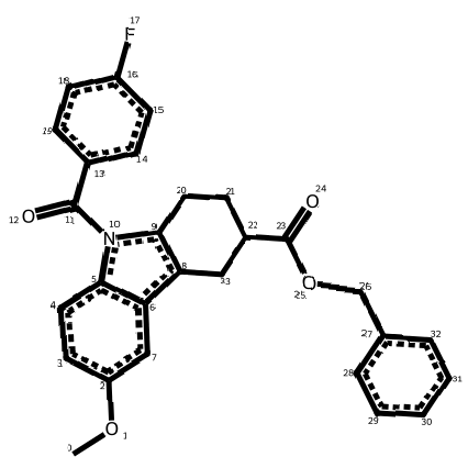 COc1ccc2c(c1)c1c(n2C(=O)c2ccc(F)cc2)CCC(C(=O)OCc2ccccc2)C1